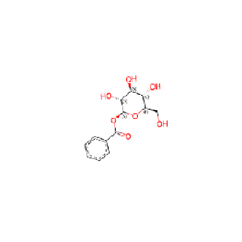 O=C(O[C@@H]1O[C@H](CO)[C@@H](O)[C@H](O)[C@H]1O)c1ccccc1